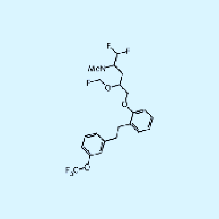 CNC(CC(COc1ccccc1CCc1cccc(OC(F)(F)F)c1)OCF)C(F)F